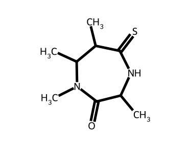 CC1NC(=S)C(C)C(C)N(C)C1=O